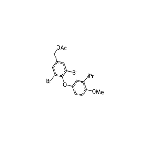 COc1ccc(Oc2c(Br)cc(COC(C)=O)cc2Br)cc1C(C)C